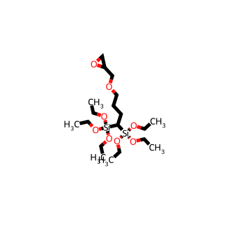 CCO[Si](OCC)(OCC)C(CCCOCC1CO1)[Si](OCC)(OCC)OCC